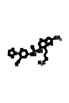 COCCc1c(NC(=O)Nc2cnc(-n3nccn3)c(C#N)c2)cnc2cc(C)nn12